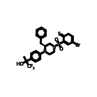 CC(O)(c1ccc(N2CCN(S(=O)(=O)C3=CC(Br)=CCC3=S)C[C@@H]2Cc2ccccc2)cc1)C(F)(F)F